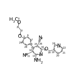 COCCOc1ccc(-c2c(C#N)c(N)nc(OCc3cccnc3)c2C#N)cc1